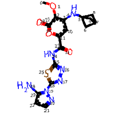 COc1c(NC23CC(C2)C3)cc(C(=O)Nc2nnc(-n3nccc3N)s2)oc1=O